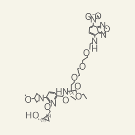 CCOC(=O)[C@](CC)(CCOCCOCCOCCNc1ccc([N+](=O)[O-])c2nonc12)NC(=O)c1ccc(N2CC(OC)C2)c(OC[C@H]2C[C@@H]2CO)n1